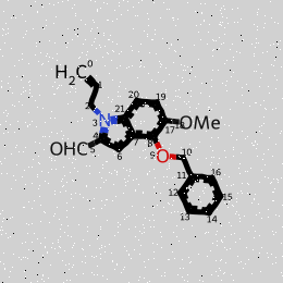 C=CCn1c(C=O)cc2c(OCc3ccccc3)c(OC)ccc21